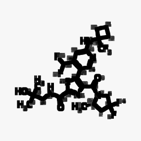 C[C@H]1CC(F)(F)CN1C(=O)c1nc(C(=O)NCC(C)(C)O)sc1-c1cnc(NC2(C(F)(F)F)CCC2)cc1C(F)F